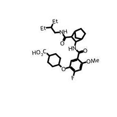 CCC(CC)CNC(=O)C1C2CCC(C2)C1NC(=O)c1cc(OC2CCC(C(=O)O)CC2)c(F)cc1OC